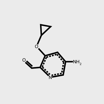 Nc1cnc(C=O)c(OC2CC2)c1